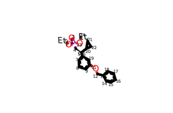 CCOP(=O)(C[C@H](c1cccc(OCc2ccccc2)c1)C1CC1)OCC